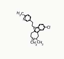 Cc1ccc(CCn2c3c(c4cc(Cl)ccc42)CC(C)N(C)CC3)cn1